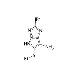 CCSc1[nH]n2nc(C(C)C)nc2c1N